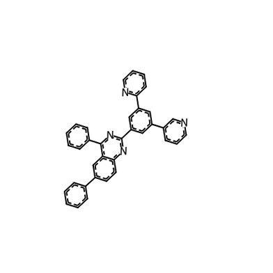 c1ccc(-c2ccc3nc(-c4cc(-c5cccnc5)cc(-c5ccccn5)c4)nc(-c4ccccc4)c3c2)cc1